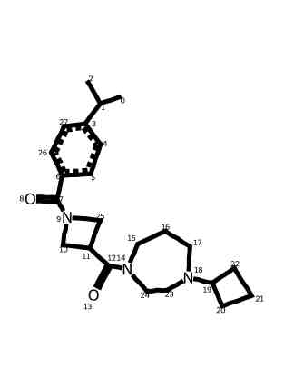 CC(C)c1ccc(C(=O)N2CC(C(=O)N3CCCN(C4CCC4)CC3)C2)cc1